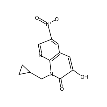 O=c1c(O)cc2cc([N+](=O)[O-])cnc2n1CC1CC1